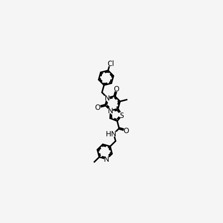 Cc1ccc(CNC(=O)c2cn3c(=O)n(Cc4ccc(Cl)cc4)c(=O)c(C)c3s2)cn1